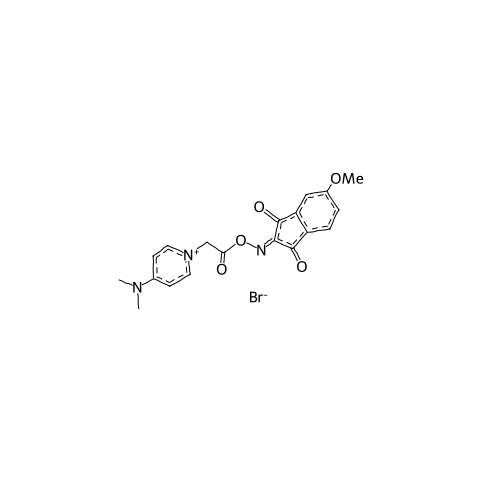 COc1ccc2c(=O)c(=NOC(=O)C[n+]3ccc(N(C)C)cc3)c(=O)c2c1.[Br-]